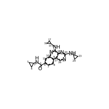 O=C(NC1CC1)c1ccc2c(c1)nc(NC1CC1)c1nc(NC3CC3)ncc12